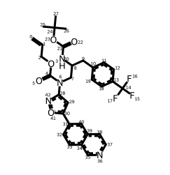 C=CCOC(=O)N(CC(Cc1ccc(C(F)(F)F)cc1)NC(=O)OC(C)(C)C)c1cc(-c2ccc3cnccc3c2)on1